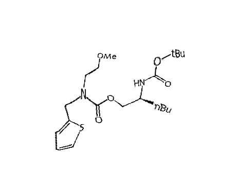 CCCC[C@@H](COC(=O)N(CCOC)Cc1cccs1)NC(=O)OC(C)(C)C